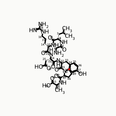 CC(C)C[C@H](NC(=O)CN)C(=O)N[C@@H](CCCNC(=N)N)C(=O)N[C@@H](CC(=O)O)C(=O)N[C@@H](Cc1ccc(O)cc1)C(=O)N1CCC[C@H]1C(=O)N[C@@H](C)C(=O)O